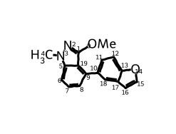 COc1nn(C)c2cccc(-c3ccc4occc4c3)c12